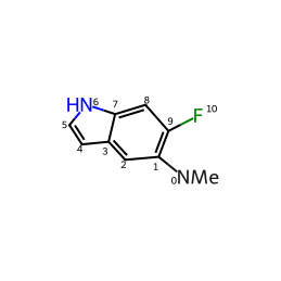 CNc1cc2cc[nH]c2cc1F